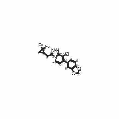 FC1(F)CC1Cc1nnc2c(Cl)c(-c3ccc4c(c3)OCO4)ccn12